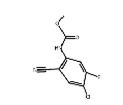 COC(=O)Nc1cc(F)c(Cl)cc1C#N